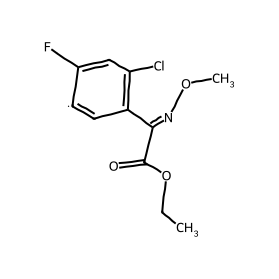 CCOC(=O)/C(=N/OC)c1c[c]c(F)cc1Cl